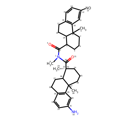 CN(C(=O)C1CCCC2(C)c3cc(N=O)ccc3CCC12)C(=O)[C@@]1(C)CCCC2(C)c3cc(N)ccc3CCC21